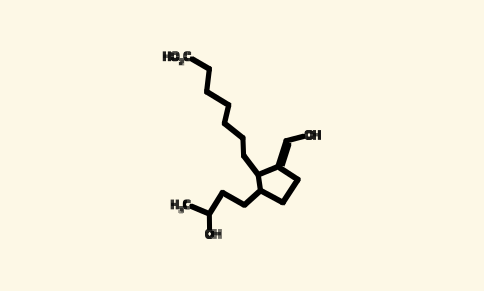 CC(O)CCC1CC/C(=C\O)C1CCCCCCC(=O)O